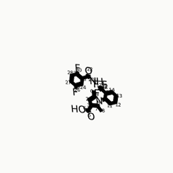 Cc1cc(C(=O)O)c(C)n1-c1ccccc1C(F)(F)F.NC(=O)c1cc(F)ccc1F